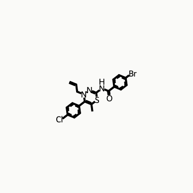 C=CCN1N=C(NC(=O)c2ccc(Br)cc2)SC(C)=C1c1ccc(Cl)cc1